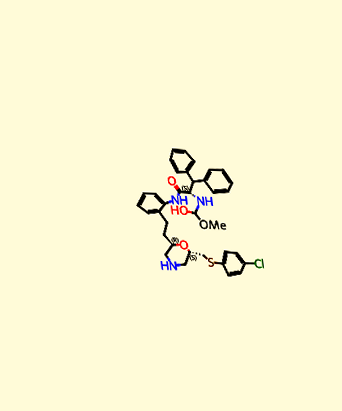 COC(O)N[C@H](C(=O)Nc1ccccc1CC[C@@H]1CNC[C@@H](CSc2ccc(Cl)cc2)O1)C(c1ccccc1)c1ccccc1